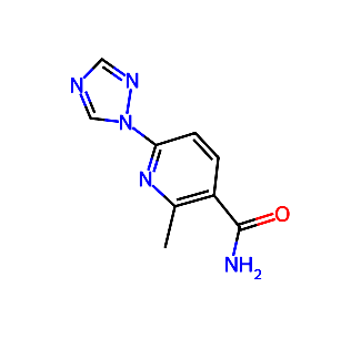 Cc1nc(-n2cncn2)ccc1C(N)=O